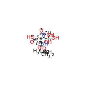 CN(C=O)C(C(O)C(O)CO)[C@@H]1CC(C(=O)O)C[C@@H]1NC(=O)OC(C)(C)C